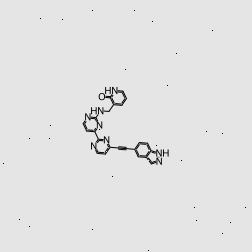 O=c1[nH]cccc1CNc1nccc(-c2nccc(C#Cc3ccc4[nH]ncc4c3)n2)n1